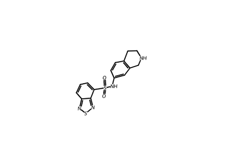 O=S(=O)(Nc1ccc2c(c1)CNCC2)c1cccc2nsnc12